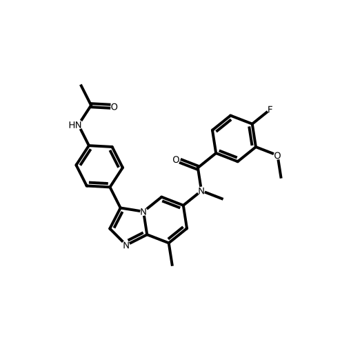 COc1cc(C(=O)N(C)c2cc(C)c3ncc(-c4ccc(NC(C)=O)cc4)n3c2)ccc1F